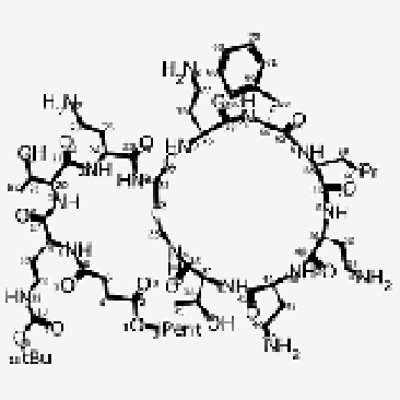 CCCC(C)OC(=O)CCC(=O)N[C@@H](CCNC(=O)OC(C)(C)C)C(=O)N[C@H](C(=O)N[C@@H](CCN)C(=O)N[C@H]1CCNC(=O)[C@H](C(C)O)NC(=O)[C@H](CCN)NC(=O)[C@H](CCN)NC(=O)[C@H](CC(C)C)NC(=O)[C@@H](Cc2ccccc2)NC(=O)[C@H](CCN)NC1)C(C)O